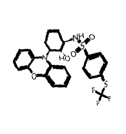 O=S(=O)(N[C@@H]1CCC[C@H](N2c3ccccc3Oc3ccccc32)[C@H]1O)c1ccc(SC(F)(F)F)cc1